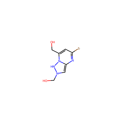 OCC1=CC([S])=NC2=CN(CO)NN12